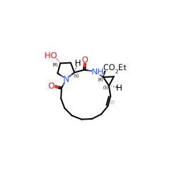 CCOC(=O)[C@@]12C[C@H]1/C=C\CCCCCCC(=O)N1C[C@H](O)C[C@H]1C(=O)N2